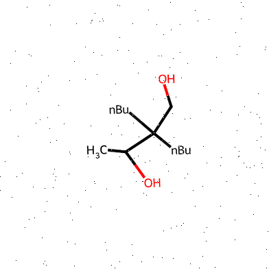 CCCCC(CO)(CCCC)C(C)O